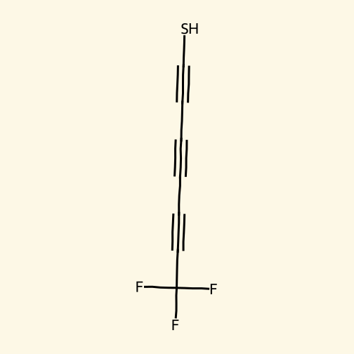 FC(F)(F)C#CC#CC#CS